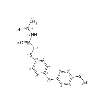 CCSc1ccc(Sc2ccc(SCC(=O)NN(C)F)cc2)cc1